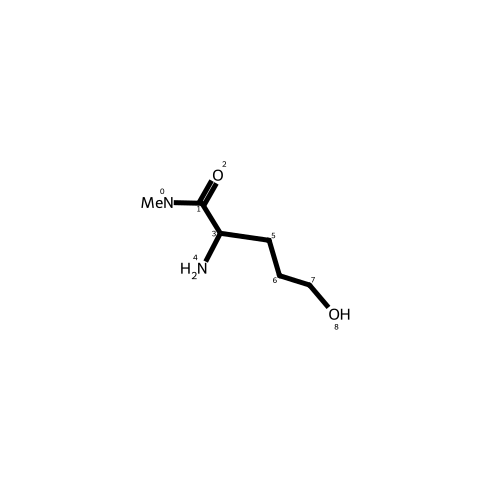 CNC(=O)C(N)CCCO